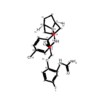 NC(=O)Nc1cc(F)ccc1OCC(=O)N[C@H]1C[C@H]2CC[C@@H](C1)N2Cc1ccc(Cl)cc1